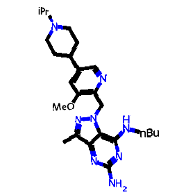 CCCCNc1nc(N)nc2c(C)nn(Cc3ncc(C4CCN(C(C)C)CC4)cc3OC)c12